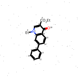 CCOC(=O)c1cn(CC)c2cc(-c3ccccc3)ccc2c1=O